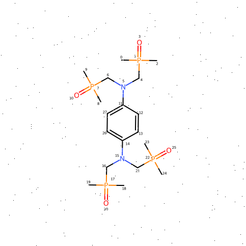 CP(C)(=O)CN(CP(C)(C)=O)c1ccc(N(CP(C)(C)=O)CP(C)(C)=O)cc1